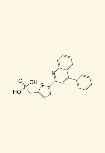 O=P(O)(O)Cc1ccc(-c2cc(-c3ccccc3)c3ccccc3n2)s1